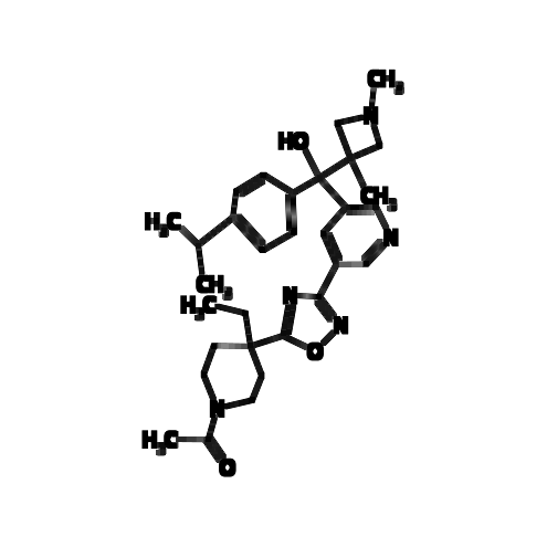 CCC1(c2nc(-c3cncc(C(O)(c4ccc(C(C)C)cc4)C4(C)CN(C)C4)c3)no2)CCN(C(C)=O)CC1